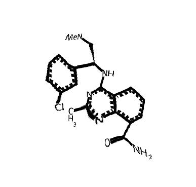 CNC[C@@H](Nc1nc(C)nc2c(C(N)=O)cccc12)c1cccc(Cl)c1